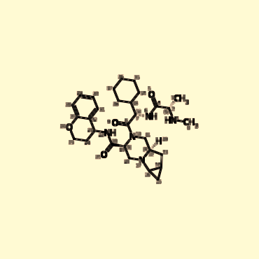 CN[C@@H](C)C(=O)N[C@H](C(=O)N1C[C@H]2CC3CC3N2C[C@H]1C(=O)NC1CCOc2ccccc21)C1CCCCC1